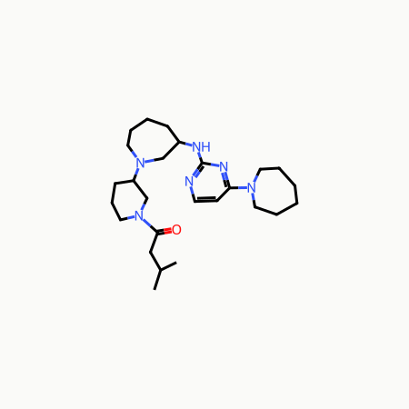 CC(C)CC(=O)N1CCCC(N2CCCCC(Nc3nccc(N4CCCCCC4)n3)C2)C1